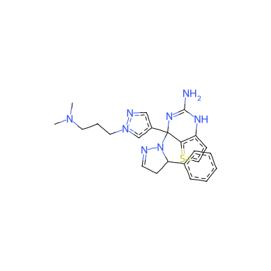 CN(C)CCCn1cc(C2(N3N=CCC3c3ccccc3)N=C(N)Nc3ccsc32)cn1